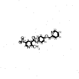 Cc1ncc([N+](=O)[O-])cc1C(=O)Nc1ccc(OCc2ccccn2)cc1